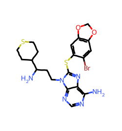 Nc1ncnc2c1nc(Sc1cc3c(cc1Br)OCO3)n2CCC(N)C1CCSCC1